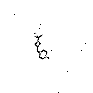 CC(=O)N1CC(CN2CCN(C)CC2)C1